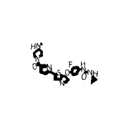 CNC1CCN(C(=O)c2ccc(-c3cc4nccc(Oc5ccc(NC(=O)NC6CC6)cc5F)c4s3)nc2)CC1